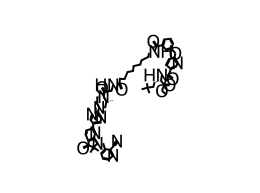 COC(=O)[C@H](CCC(C)(C)C)NC(=O)c1ccc(Oc2cccc(C(=O)NCCCCCCCCCC(=O)NCC(=O)N3CCN(c4ncc(-c5ccc6c(n5)N(Cc5cccnc5C#N)C(C)(C)C6=O)cn4)C[C@H]3C)c2)nc1